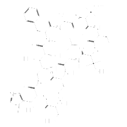 CO[C@@H](CNC(=O)[C@H](NC(=O)[C@H](O)[C@H](C)O)[C@H](O)c1cncn1C)[C@H](O)[C@H](O)C(=O)N(C)[C@@H](Cc1ccccc1)C(=O)N[C@H](O)C(=O)N[C@H](C(=O)N[C@@H](CO)C(=O)N[C@H](C(=O)N[C@@H](CC(C)C)C(=O)N[C@@H](CCO)C(=O)O)C(C)(C)O)C(C)(C)O